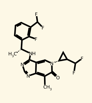 Cc1c(=O)n([C@@H]2CC2C(F)F)cc2c(N[C@H](C)c3cccc(C(F)F)c3F)ncnc12